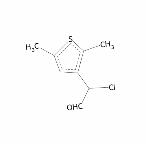 Cc1cc(C(Cl)C=O)c(C)s1